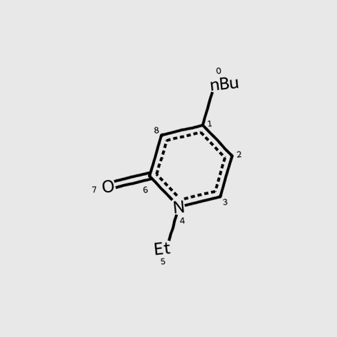 CCCCc1ccn(CC)c(=O)c1